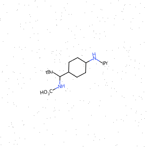 CC(C)NC1CCC(C(NC(=O)O)C(C)(C)C)CC1